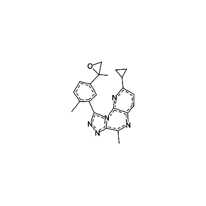 Cc1ccc(C2(C)CO2)cc1-c1nnc2c(C)nc3ccc(C4CC4)nc3n12